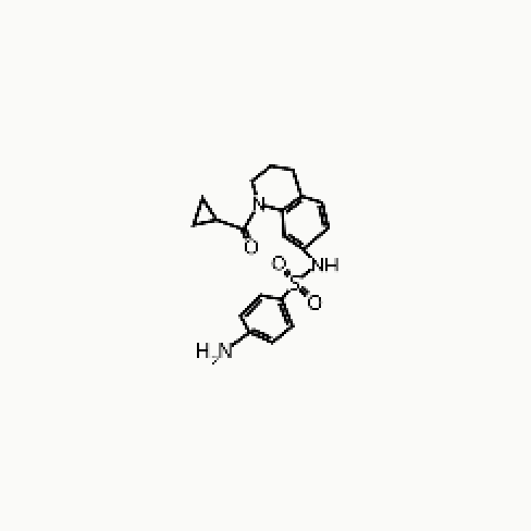 Nc1ccc(S(=O)(=O)Nc2ccc3c(c2)N(C(=O)C2CC2)CCC3)cc1